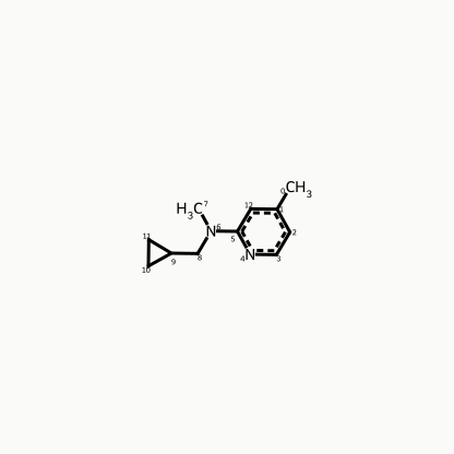 Cc1ccnc(N(C)CC2CC2)c1